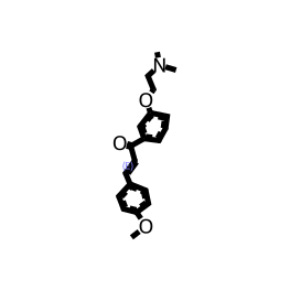 COc1ccc(/C=C/C(=O)c2cccc(OCCN(C)C)c2)cc1